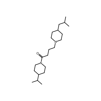 CC(C)CC1CCN(CCCC(=O)N2CCC(C(C)C)CC2)CC1